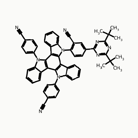 CC(C)(C)c1nc(-c2ccc(-n3c4ccccc4c4c5c(c6ccccc6n5-c5ccc(C#N)cc5)c5c(c6ccccc6n5-c5ccc(C#N)cc5)c43)c(C#N)c2)nc(C(C)(C)C)n1